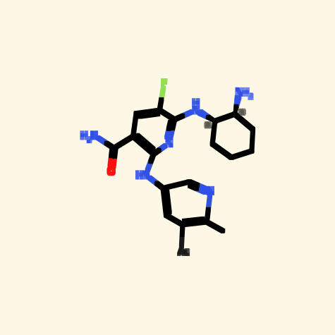 CC(=O)c1cc(Nc2nc(N[C@@H]3CCCC[C@@H]3N)c(F)cc2C(N)=O)cnc1C